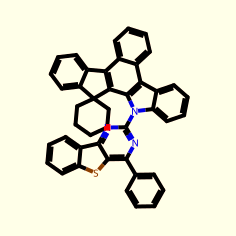 c1ccc(-c2nc(-n3c4ccccc4c4c5ccccc5c5c(c43)C3(CCCCC3)c3ccccc3-5)nc3c2sc2ccccc23)cc1